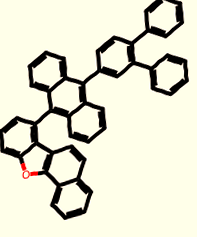 c1ccc(-c2ccc(-c3c4ccccc4c(-c4cccc5oc6c7ccccc7ccc6c45)c4ccccc34)cc2-c2ccccc2)cc1